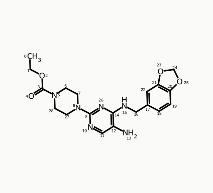 CCOC(=O)N1CCN(c2ncc(N)c(NCc3ccc4c(c3)OCO4)n2)CC1